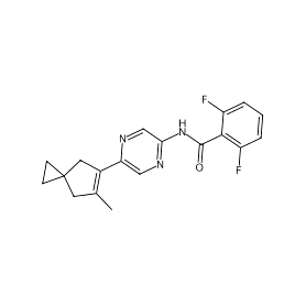 CC1=C(c2cnc(NC(=O)c3c(F)cccc3F)cn2)CC2(CC2)C1